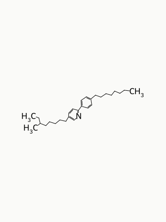 CCCCCCCCc1ccc(-c2ccc(CCCCCC(C)CC)cn2)cc1